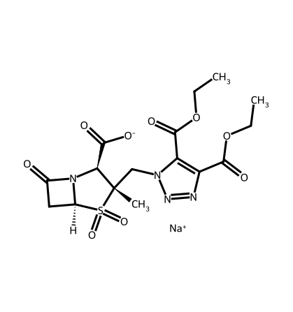 CCOC(=O)c1nnn(C[C@@]2(C)[C@H](C(=O)[O-])N3C(=O)C[C@@H]3S2(=O)=O)c1C(=O)OCC.[Na+]